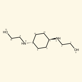 OCCN[C@H]1CC[C@H](NCCO)CC1